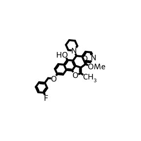 COC(=O)c1c(C)oc2c1c(C(c1ccncc1)N1CCCCC1)c(O)c1ccc(OCc3cccc(F)c3)cc12